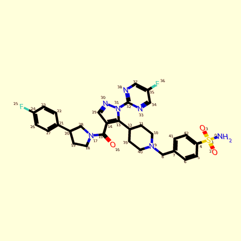 NS(=O)(=O)c1ccc(CN2CCC(c3c(C(=O)N4CCC(c5ccc(F)cc5)C4)cnn3-c3ncc(F)cn3)CC2)cc1